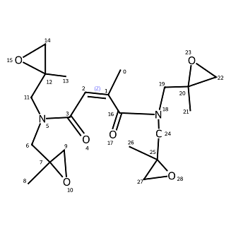 C/C(=C/C(=O)N(CC1(C)CO1)CC1(C)CO1)C(=O)N(CC1(C)CO1)CC1(C)CO1